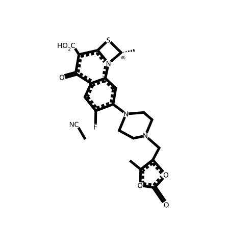 CC#N.Cc1oc(=O)oc1CN1CCN(c2cc3c(cc2F)c(=O)c(C(=O)O)c2n3[C@@H](C)S2)CC1